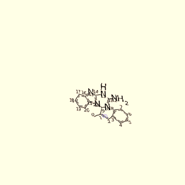 C/C(=C/c1ccccc1)C1N=C(N)Nc2nc3ccccc3n21